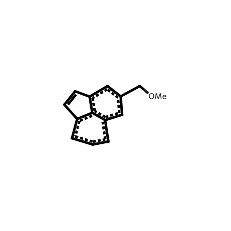 COCc1cc2c3c(cccc3c1)C=C2